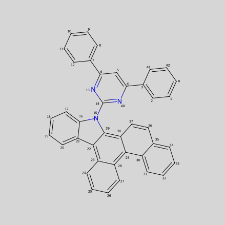 c1ccc(-c2cc(-c3ccccc3)nc(-n3c4ccccc4c4c5ccccc5c5c6ccccc6ccc5c43)n2)cc1